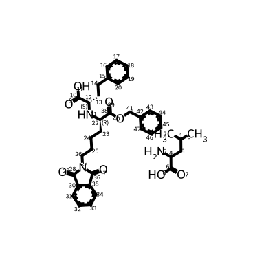 CC(C)CC(N)C(=O)O.O=C(O)[C@H](CCc1ccccc1)N[C@H](CCCCN1C(=O)c2ccccc2C1=O)C(=O)OCc1ccccc1